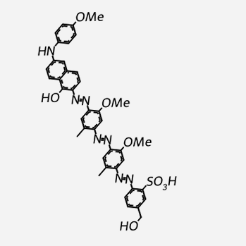 COc1ccc(Nc2ccc3c(O)c(N=Nc4cc(C)c(N=Nc5cc(C)c(N=Nc6ccc(CO)cc6S(=O)(=O)O)cc5OC)cc4OC)ccc3c2)cc1